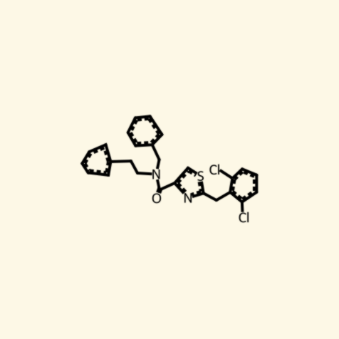 O=C(c1csc(Cc2c(Cl)cccc2Cl)n1)N(CCc1ccccc1)Cc1ccccc1